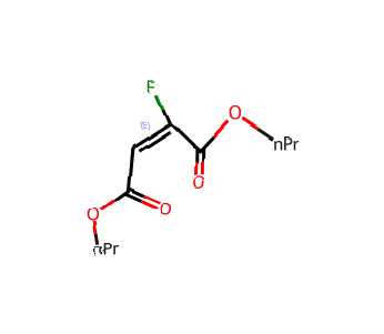 CCCOC(=O)/C=C(/F)C(=O)OCCC